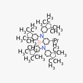 CC(C)c1cc2c3c(c1)N(c1ccc4c(c1)C(C)(C)CC4(C)C)c1cc4c(cc1B3c1cc3c(cc1N2c1ccc2c(c1)C(C)(C)CC2(C)C)C(C)(C)CC3(C)C)C(C)(C)CC4(C)C